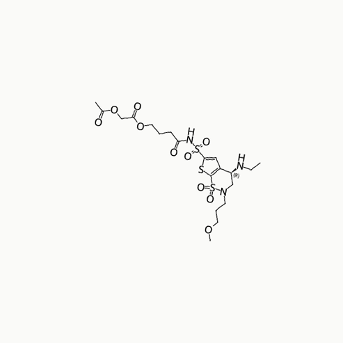 CCN[C@H]1CN(CCCOC)S(=O)(=O)c2sc(S(=O)(=O)NC(=O)CCCOC(=O)COC(C)=O)cc21